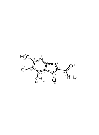 Cc1nc2sc(C(N)=O)c(Cl)c2c(C)c1Cl